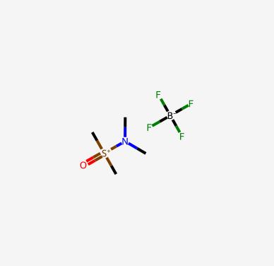 CN(C)[S+](C)(C)=O.F[B-](F)(F)F